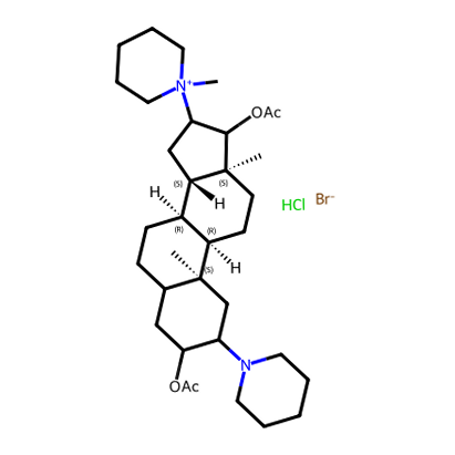 CC(=O)OC1CC2CC[C@@H]3[C@@H](CC[C@]4(C)C(OC(C)=O)C([N+]5(C)CCCCC5)C[C@@H]34)[C@@]2(C)CC1N1CCCCC1.Cl.[Br-]